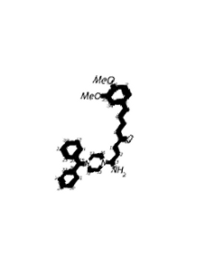 COc1ccc(C=CC=CC(=O)CCC(N)N2CCN(C(c3ccccc3)c3ccccc3)CC2)cc1OC